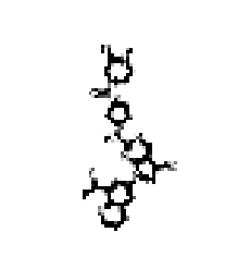 CN1CCN(C(=O)[C@@H]2CC[C@@H](Nc3ncc4c(Br)nn(-c5cc(C(F)F)c6ncccc6c5)c4n3)C2)CC1=O